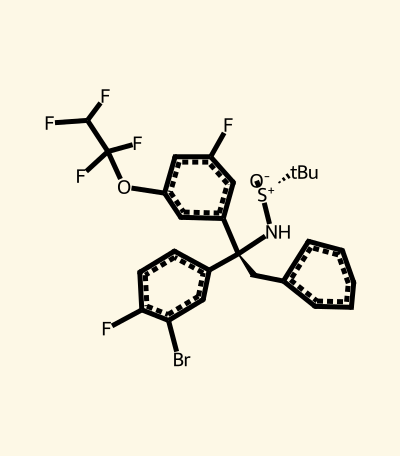 CC(C)(C)[S@@+]([O-])N[C@@](Cc1ccccc1)(c1cc(F)cc(OC(F)(F)C(F)F)c1)c1ccc(F)c(Br)c1